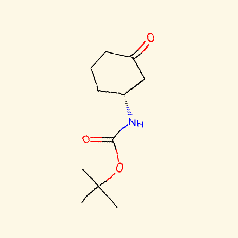 CC(C)(C)OC(=O)N[C@@H]1CCCC(=O)C1